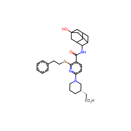 O=C(O)C[C@@H]1CCCN(c2ccc(C(=O)NC3C4CC5CC3CC(O)(C5)C4)c(SCCc3ccccc3)n2)C1